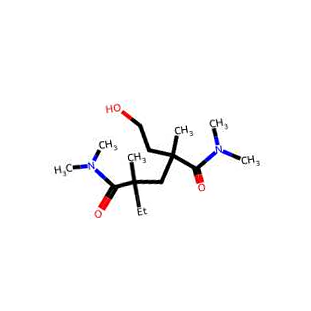 CCC(C)(CC(C)(CCO)C(=O)N(C)C)C(=O)N(C)C